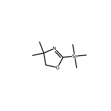 CC1(C)CO[C]([Sn]([CH3])([CH3])[CH3])=N1